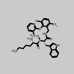 CCN(C(=O)[C@@H](N)CCCCN)[C@@H](Cc1c[nH]c2ccccc12)C(=O)NCc1c(C(F)(F)F)ccc(Cl)c1Sc1ncccc1N